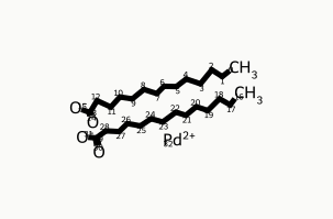 CCCCCCCCCCCCCC(=O)[O-].CCCCCCCCCCCCCC(=O)[O-].[Pd+2]